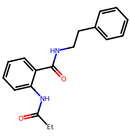 CCC(=O)Nc1ccccc1C(=O)NCCc1ccccc1